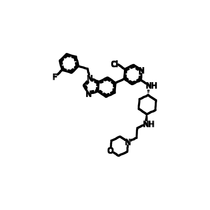 Fc1cccc(Cn2cnc3ccc(-c4cc(N[C@H]5CC[C@H](NCCN6CCOCC6)CC5)ncc4Cl)cc32)c1